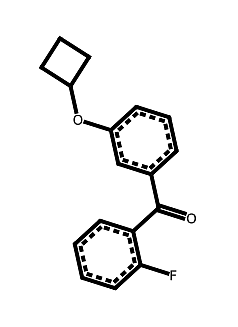 O=C(c1cccc(OC2CCC2)c1)c1ccccc1F